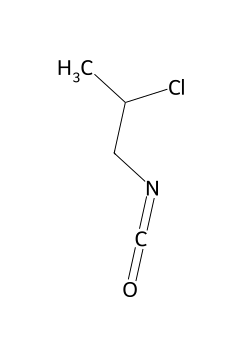 CC(Cl)CN=C=O